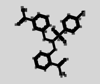 NC(=O)c1ccccc1CN(Cc1cccc(C(=O)O)c1)S(=O)(=O)c1ccc(Cl)cc1